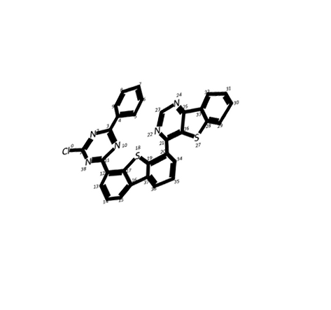 Clc1nc(-c2ccccc2)nc(-c2cccc3c2sc2c(-c4ncnc5c4sc4ccccc45)cccc23)n1